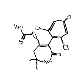 COC(=S)OC1=C(c2c(Cl)cc(Cl)cc2Cl)C(=O)NC(C)(C)C1